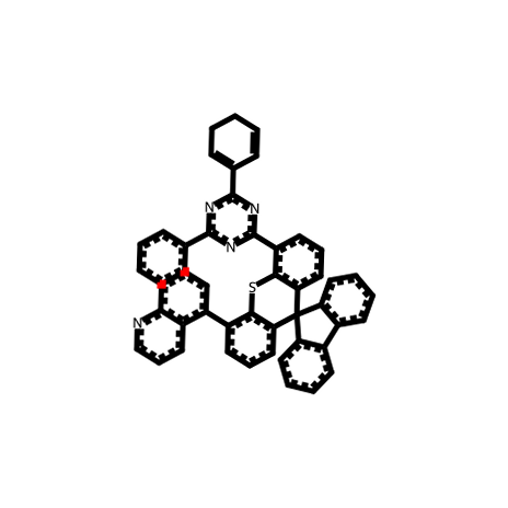 C1=CC(c2nc(-c3ccccc3)nc(-c3cccc4c3Sc3c(-c5cccc6ncccc56)cccc3C43c4ccccc4-c4ccccc43)n2)=CCC1